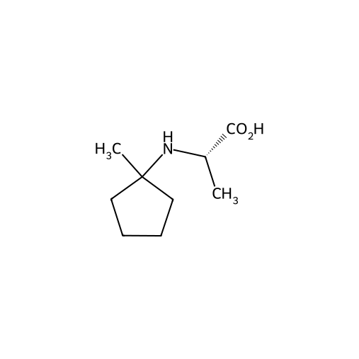 C[C@H](NC1(C)CCCC1)C(=O)O